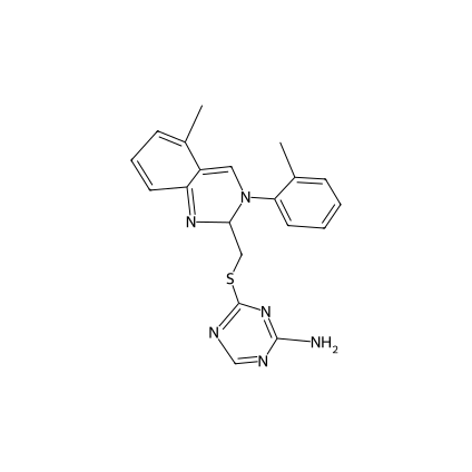 Cc1ccccc1N1C=c2c(C)cccc2=NC1CSc1ncnc(N)n1